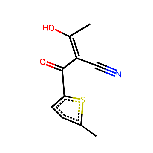 C/C(O)=C(\C#N)C(=O)c1ccc(C)s1